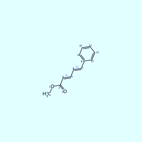 COC(=O)/C=C/C=C/c1ccccc1